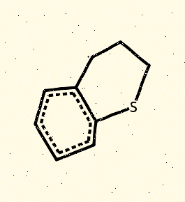 [CH]1CCSc2ccccc21